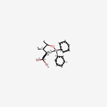 CC(O[Si](c1ccccc1)(c1ccccc1)C(C)(C)C)[C@H](C)C=C(Br)Br